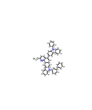 Cc1ccc2c(-c3ccc4c(c3)c3ccccc3n4-c3ccccc3)cc3cc4c(cc3c2n1)c1ccccc1n4-c1cccc(-c2ccccc2)c1